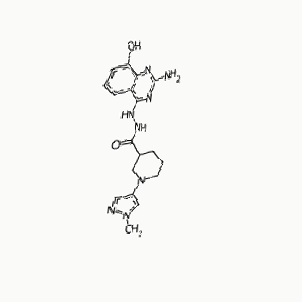 Cn1cc(N2CCCC(C(=O)NNc3nc(N)nc4c(O)cccc34)C2)cn1